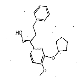 COc1ccc(C(CCc2ccccc2)=NO)cc1OC1CCCC1